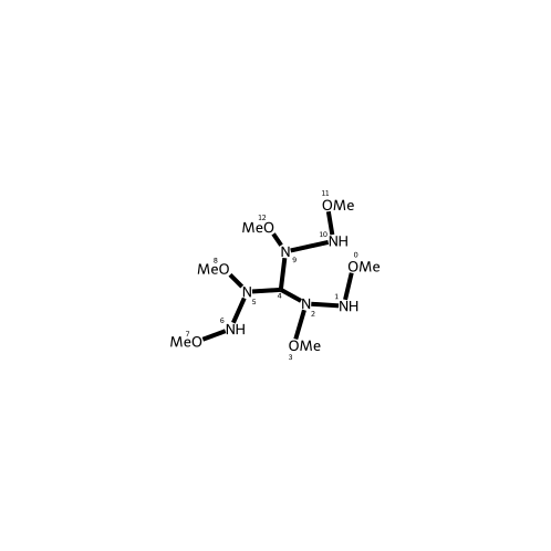 CONN(OC)C(N(NOC)OC)N(NOC)OC